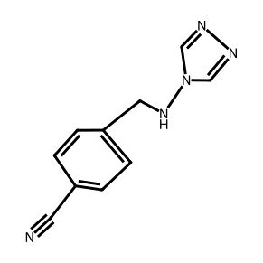 N#Cc1ccc(CNn2cnnc2)cc1